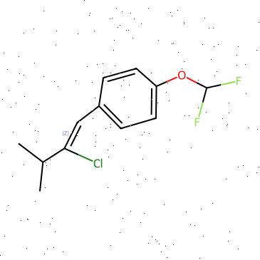 CC(C)/C(Cl)=C/c1ccc(OC(F)F)cc1